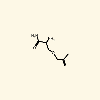 C=C(C)COCC(N)C(N)=O